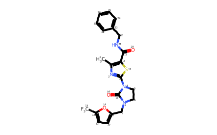 Cc1nc(N2CCN(Cc3ccc(C(F)(F)F)o3)C2=O)sc1C(=O)NCc1ccccc1